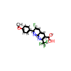 COc1ccc(-c2nc3nc(C(F)(F)F)c(C(=O)O)cc3cc2F)cc1